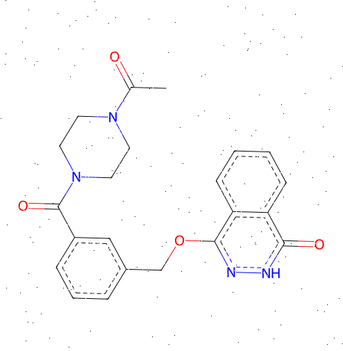 CC(=O)N1CCN(C(=O)c2cccc(COc3n[nH]c(=O)c4ccccc34)c2)CC1